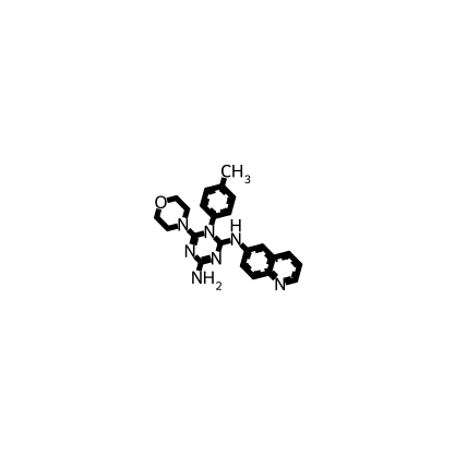 Cc1ccc(N2C(N3CCOCC3)=NC(N)=NC2Nc2ccc3ncccc3c2)cc1